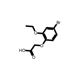 CCOc1cc(Br)ccc1OCC(=O)O